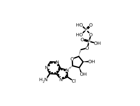 Nc1ncnc2c1nc(Cl)n2[C@@H]1O[C@H](COP(=O)(O)OP(=O)(O)O)[C@@H](O)[C@H]1O